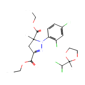 CC1(C(Cl)Cl)OCCO1.CCOC(=O)C1=NN(c2ccc(Cl)cc2Cl)C(C)(C(=O)OCC)C1